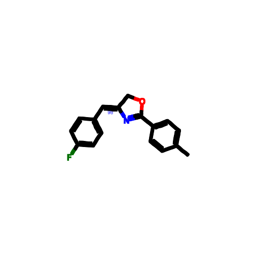 Cc1ccc(C2=N/C(=C\c3ccc(F)cc3)CO2)cc1